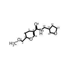 COCC1CCC(C(=O)NCC2CCOC2)=CO1